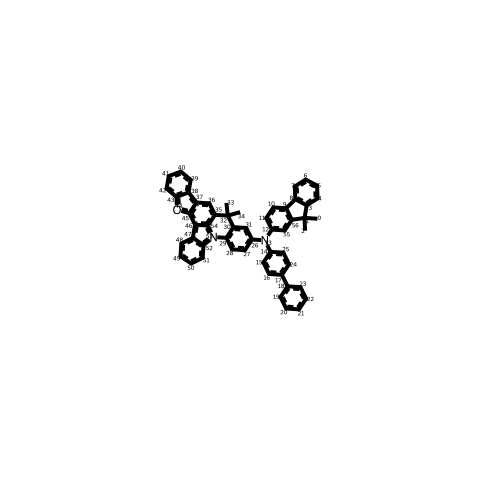 CC1(C)c2ccccc2-c2ccc(N(c3ccc(-c4ccccc4)cc3)c3ccc4c(c3)C(C)(C)c3cc5c6ccccc6oc5c5c6ccccc6n-4c35)cc21